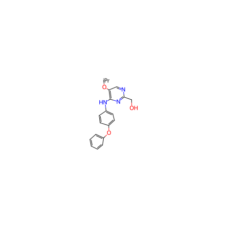 CC(C)Oc1cnc(CO)nc1Nc1ccc(Oc2ccccc2)cc1